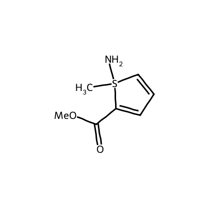 COC(=O)C1=CC=CS1(C)N